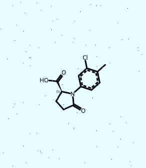 Cc1ccc(N2C(=O)CC[C@H]2C(=O)O)cc1Cl